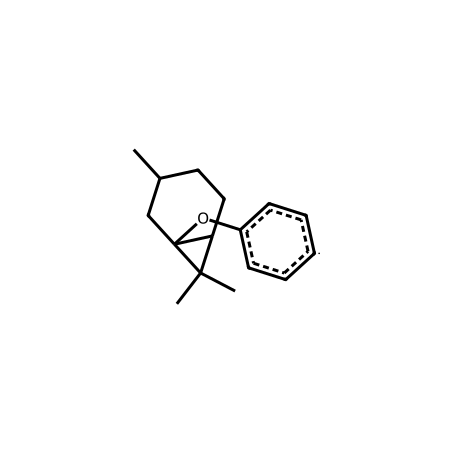 CC1CCC2C(C)(C)C2(Oc2cc[c]cc2)C1